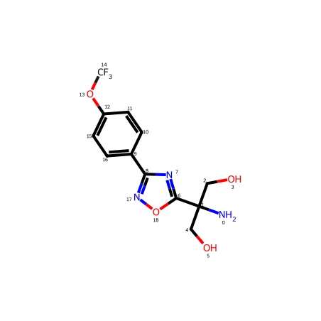 NC(CO)(CO)c1nc(-c2ccc(OC(F)(F)F)cc2)no1